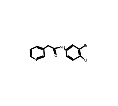 O=C(Cc1cccnc1)Nc1ccc(Cl)c(Br)c1